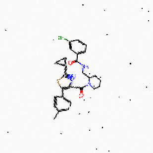 Cc1ccc(-c2sc(C3CC3)nc2C(=O)N2CCCCC2CNC(=O)c2cccc(Br)c2)cc1